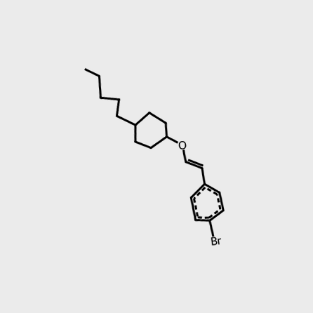 CCCCCC1CCC(OC=Cc2ccc(Br)cc2)CC1